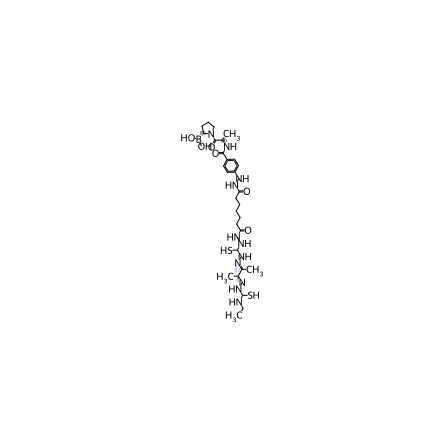 CCNC(S)N/N=C(C)/C(C)=N/NC(S)NNC(=O)CCCCCC(=O)NNc1ccc(C(=O)N[C@H](C)C(=O)N2CCC[C@H]2B(O)O)cc1